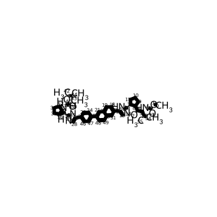 COC(=O)N[C@H](C(=O)C1CCC[C@H]1c1ncc(-c2ccc3cc(-c4ccc(-c5cnc([C@@H]6[C@H]7CC[C@H](C7)N6C(=O)OC(C)(C)C)[nH]5)cc4)ccc3c2)[nH]1)C(C)C